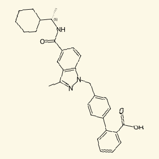 Cc1nn(Cc2ccc(-c3ccccc3C(=O)O)cc2)c2ccc(C(=O)N[C@@H](C)C3CCCCC3)cc12